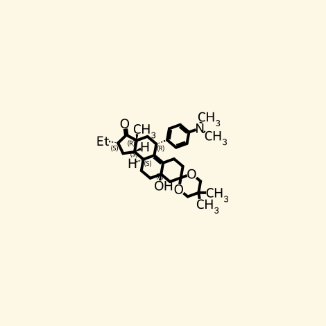 CC[C@H]1C[C@H]2[C@@H]3CC[C@@]4(O)CC5(CCC4=C3[C@@H](c3ccc(N(C)C)cc3)C[C@@]2(C)C1=O)OCC(C)(C)CO5